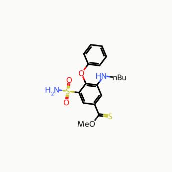 CCCCNc1cc(C(=S)OC)cc(S(N)(=O)=O)c1Oc1ccccc1